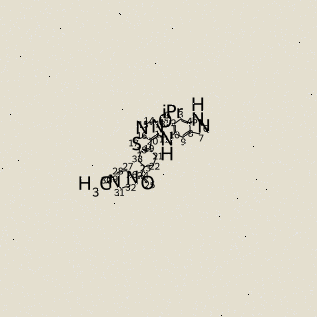 CC(C)Oc1cc2[nH]ncc2cc1Nc1ncnc2sc3c(c12)CCC(C(=O)N1CCN(C)CC1)C3